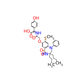 CCCCC1(CCCC)CN(c2ccccc2)c2cc(SC)c(OCC(=O)N[C@@H](C(=O)O)c3ccc(O)cc3)cc2S(=O)(=O)N1